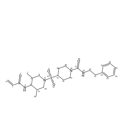 C=CC(=O)NC1C(C)CN(S(=O)(=O)C2CCN(C(=O)NCCc3ccccc3)CC2)CC1C